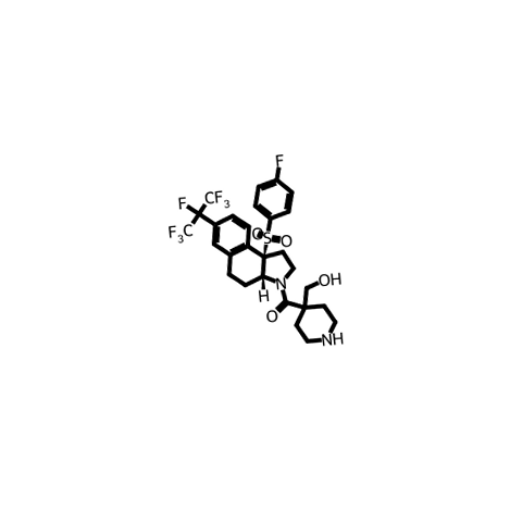 O=C(N1CC[C@@]2(S(=O)(=O)c3ccc(F)cc3)c3ccc(C(F)(C(F)(F)F)C(F)(F)F)cc3CC[C@@H]12)C1(CO)CCNCC1